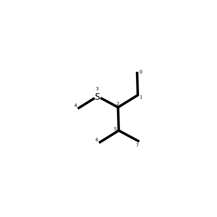 CCC(SC)C(C)C